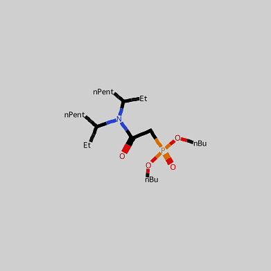 CCCCCC(CC)N(C(=O)CP(=O)(OCCCC)OCCCC)C(CC)CCCCC